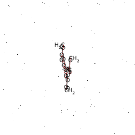 C=COCCCCCCCCN(/N=C/c1cc(OCC2CCC(C(=O)Oc3ccc(OCCCCCCOC(=O)C=C)cc3)CC2)ccc1OCC1CCC(C(=O)Oc2ccc(OCCCCCCOC(=O)C=C)cc2)CC1)c1nc2ccccc2s1